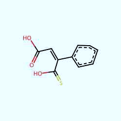 O=C(O)C=C(C(O)=S)c1ccccc1